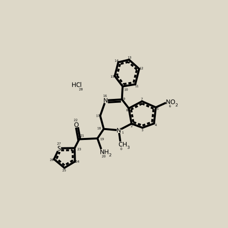 CN1c2ccc([N+](=O)[O-])cc2C(c2ccccc2)=NCC1C(N)C(=O)c1cccs1.Cl